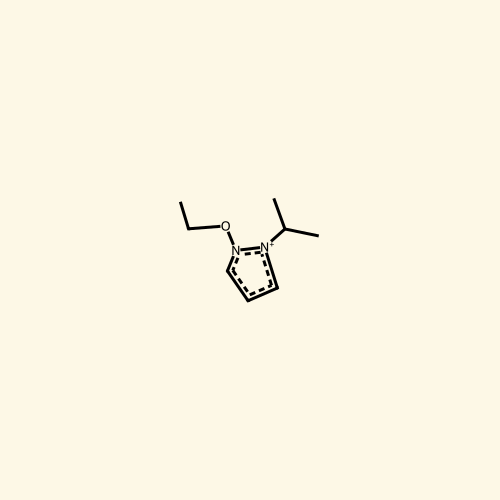 CCOn1ccc[n+]1C(C)C